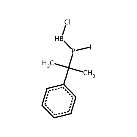 CC(C)(c1ccccc1)P(I)BCl